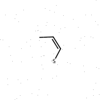 C/C=C\[S]